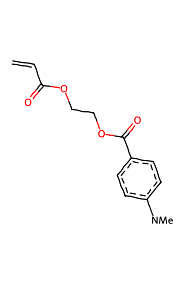 C=CC(=O)OCCOC(=O)c1ccc(NC)cc1